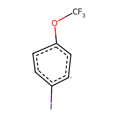 FC(F)(F)Oc1c[c]c(I)cc1